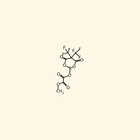 COC(=O)C(=O)OB1OC(=O)C(C(F)(F)F)(C(F)(F)F)C(=O)O1